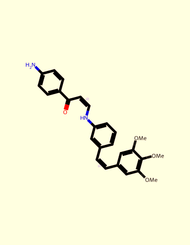 COc1cc(/C=C\c2cccc(N/C=C\C(=O)c3ccc(N)cc3)c2)cc(OC)c1OC